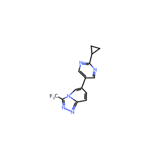 FC(F)(F)c1nnc2ccc(-c3cnc(C4CC4)nc3)cn12